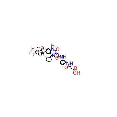 CC(C)(C)C(=O)Cc1ccc2c(c1)C(C1CCCCC1)=NN(CC(=O)Nc1cccc(NC(=O)CCC(=O)O)c1)C(=O)N2